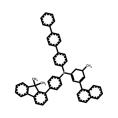 CC1C=C(c2cccc3ccccc23)C=C(N(c2ccc(-c3ccc(-c4ccccc4)cc3)cc2)c2ccc(-c3cccc4c3C(C)(C)c3ccccc3-4)cc2)C1